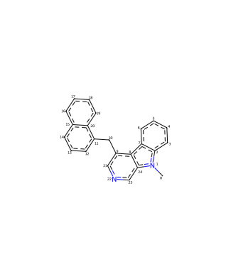 Cn1c2ccccc2c2c(Cc3cccc4ccccc34)cncc21